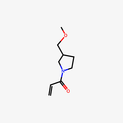 C=CC(=O)N1CCC(COC)C1